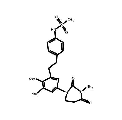 COc1c(CCc2ccc(NS(C)(=O)=O)cc2)cc(N2CCC(=O)N(N)C2=O)cc1C(C)(C)C